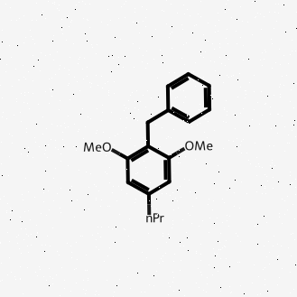 CCCc1cc(OC)c(Cc2ccccc2)c(OC)c1